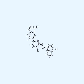 CCOC(=O)CC1CC=C(c2ncc(F)c(OCc3ccc(Cl)c4ccoc34)n2)CC1